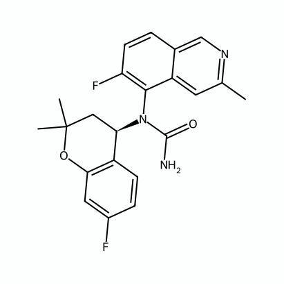 Cc1cc2c(N(C(N)=O)[C@@H]3CC(C)(C)Oc4cc(F)ccc43)c(F)ccc2cn1